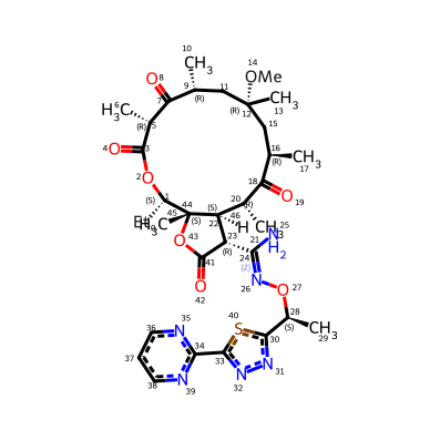 CC[C@@H]1OC(=O)[C@H](C)C(=O)[C@H](C)C[C@](C)(OC)C[C@@H](C)C(=O)[C@H](C)[C@H]2[C@H](/C(N)=N/O[C@@H](C)c3nnc(-c4ncccn4)s3)C(=O)O[C@@]21C